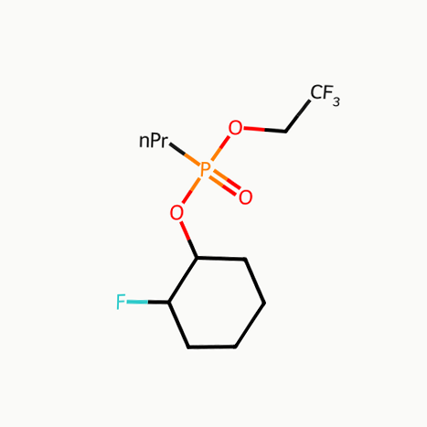 CCCP(=O)(OCC(F)(F)F)OC1CCCCC1F